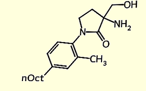 CCCCCCCCc1ccc(N2CCC(N)(CO)C2=O)c(C)c1